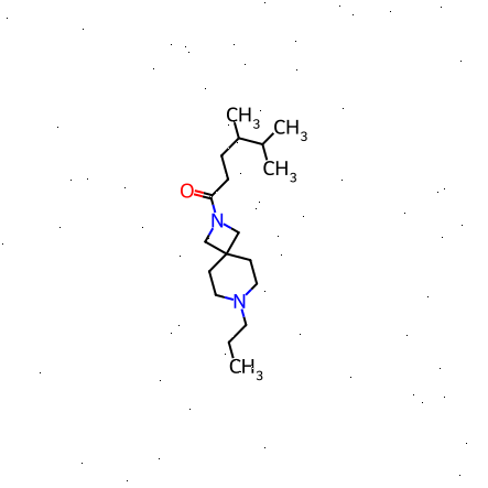 CCCN1CCC2(CC1)CN(C(=O)CCC(C)C(C)C)C2